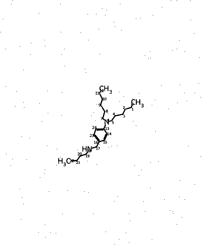 CCCCCCN(CCCCCC)c1ccc(CNCCCC)cc1